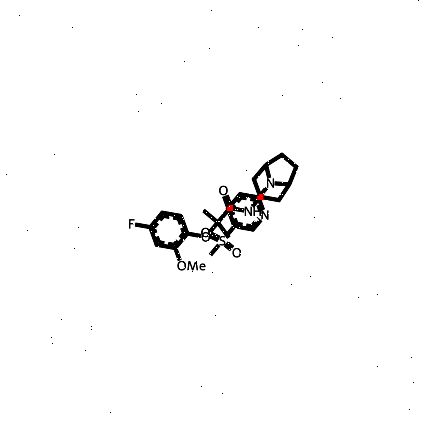 COc1cc(F)ccc1OC(C)(C)C(=O)NC1CC2CCC(C1)N2c1ccc(S(C)(=O)=O)cn1